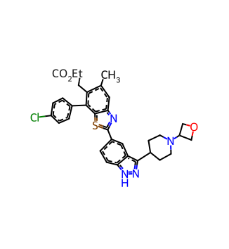 CCOC(=O)Cc1c(C)cc2nc(-c3ccc4[nH]nc(C5CCN(C6COC6)CC5)c4c3)sc2c1-c1ccc(Cl)cc1